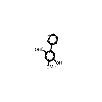 COc1cc(C=O)c(-c2cccnc2)cc1O